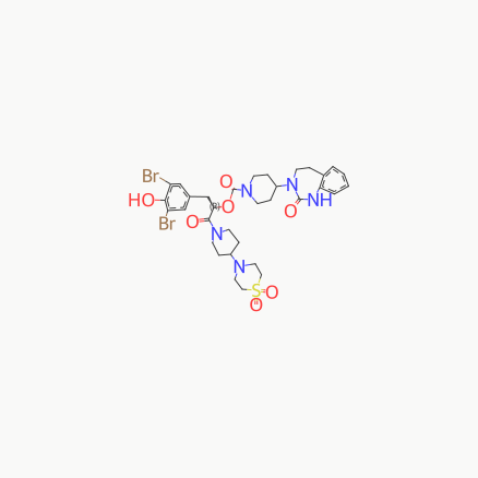 O=C(O[C@H](Cc1cc(Br)c(O)c(Br)c1)C(=O)N1CCC(N2CCS(=O)(=O)CC2)CC1)N1CCC(N2CCc3ccccc3NC2=O)CC1